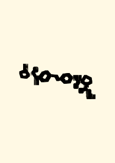 CC(C)(C)OC(=O)N1CCC[C@H]1C(=O)Nc1ccc(/C=C/c2ccc(NC(=O)[C@@H]3CCCN3)cc2)cc1